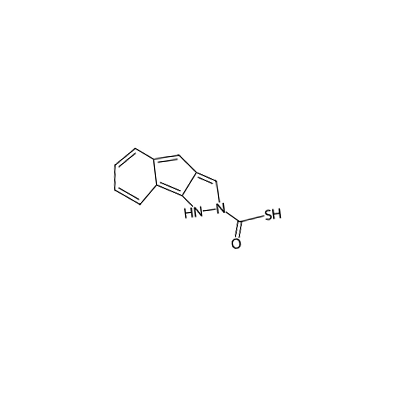 O=C(S)n1cc2cc3ccccc3c-2[nH]1